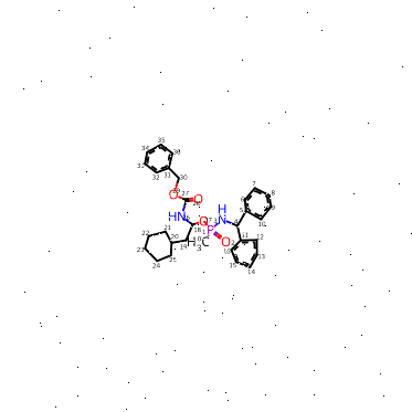 CP(=O)(NC(c1ccccc1)c1ccccc1)OC(CC1CCCCC1)NC(=O)OCc1ccccc1